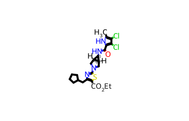 CCOC(=O)c1sc(N2C[C@@H]3[C@H](C2)[C@@H]3NC(=O)c2[nH]c(C)c(Cl)c2Cl)nc1CC1CCCC1